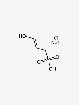 O=S(=O)(O)CC=CO.[Cl-].[Na+]